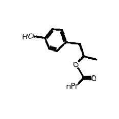 CCCC(=O)OC(C)Cc1ccc(O)cc1